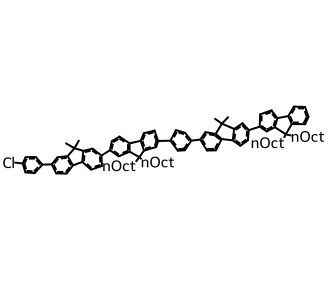 CCCCCCCCC1(CCCCCCCC)c2ccccc2-c2ccc(-c3ccc4c(c3)C(C)(C)c3cc(-c5ccc(-c6ccc7c(c6)C(CCCCCCCC)(CCCCCCCC)c6cc(-c8ccc9c(c8)C(C)(C)c8cc(-c%10ccc(Cl)cc%10)ccc8-9)ccc6-7)cc5)ccc3-4)cc21